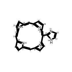 C1=Cc2cc3ccc([nH]3)c(-c3ncc[nH]3)c3nc(cc4ccc(cc1n2)[nH]4)C=C3